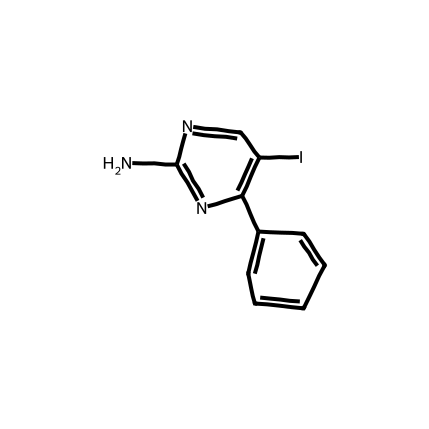 Nc1ncc(I)c(-c2ccccc2)n1